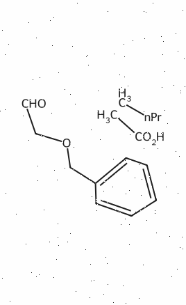 CC(=O)O.CCCC.O=CCOCc1ccccc1